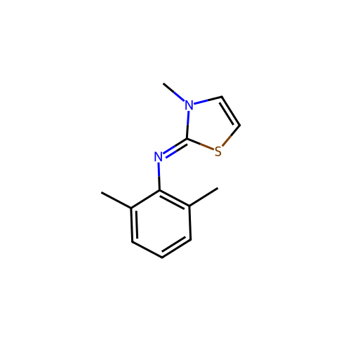 Cc1cccc(C)c1N=c1sccn1C